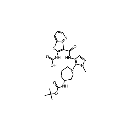 Cn1ncc(NC(=O)c2c(NC(=O)O)sc3cccnc23)c1N1CCCC(NC(=O)OC(C)(C)C)CC1